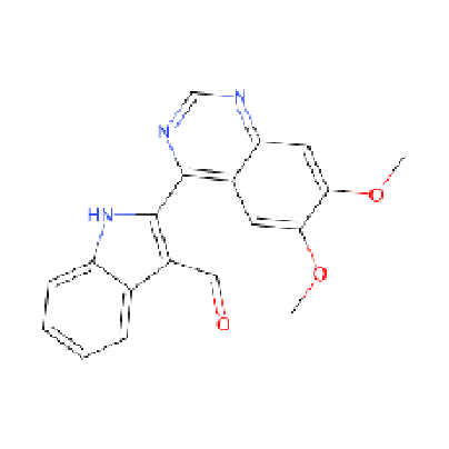 COc1cc2ncnc(-c3[nH]c4ccccc4c3C=O)c2cc1OC